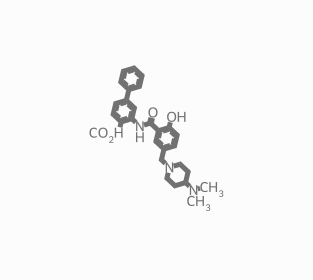 CN(C)C1CCN(Cc2ccc(O)c(C(=O)Nc3cc(-c4ccccc4)ccc3C(=O)O)c2)CC1